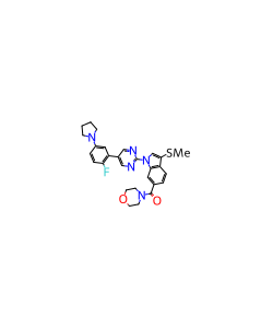 CSc1cn(-c2ncc(-c3cc(N4CCCC4)ccc3F)cn2)c2cc(C(=O)N3CCOCC3)ccc12